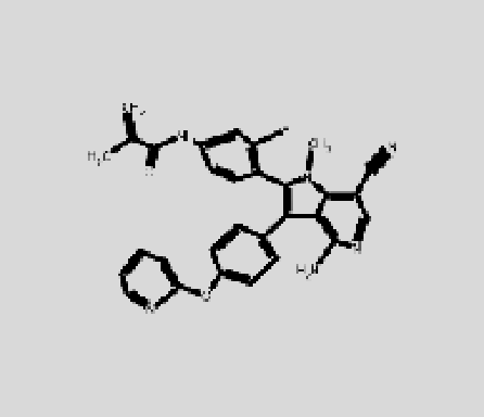 C=C(C)C(=O)Nc1ccc(-c2c(-c3ccc(Oc4ccccn4)cc3)c3c(N)ncc(C#N)c3n2C)c(F)c1